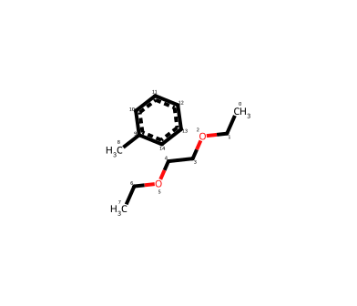 CCOCCOCC.Cc1ccccc1